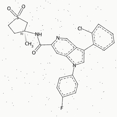 C[C@]1(NC(=O)c2cc3c(cn2)c(-c2ccccc2Cl)cn3-c2ccc(F)cc2)CCS(=O)(=O)C1